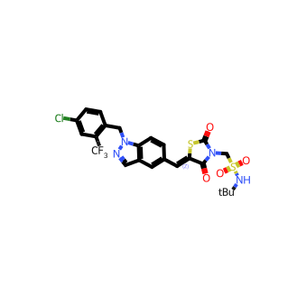 CC(C)(C)NS(=O)(=O)CN1C(=O)S/C(=C\c2ccc3c(cnn3Cc3ccc(Cl)cc3C(F)(F)F)c2)C1=O